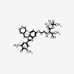 Cc1cc(-c2nc3cc(OCCN[C@@H](C(=O)OC(C)(C)C)[C@@H](C)O)ccc3n2CC2CCOCC2)cn(C)c1=O